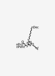 CCCCCCCCCCCCCCCCCCSc1nc(OCCCN(C)C)nc(SC(CCCCC)CC(=O)OCCC)n1